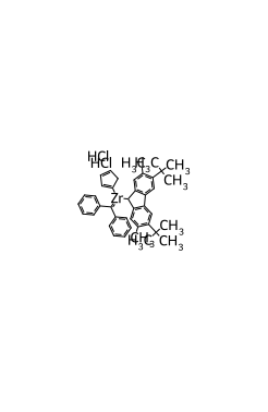 Cc1cc2c(cc1C(C)(C)C)-c1cc(C(C)(C)C)c(C)cc1[CH]2[Zr]([C]1=CC=CC1)=[C](c1ccccc1)c1ccccc1.Cl.Cl